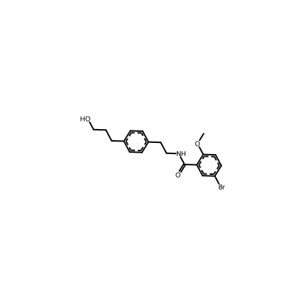 COc1ccc(Br)cc1C(=O)NCCc1ccc(CCCO)cc1